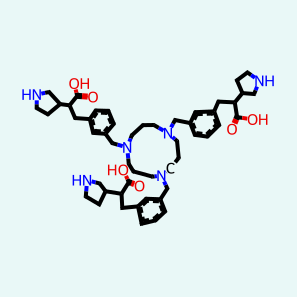 O=C(O)C(Cc1cccc(CN2CCCN(Cc3cccc(CC(C(=O)O)C4CCNC4)c3)CCCN(Cc3cccc(CC(C(=O)O)C4CCNC4)c3)CCC2)c1)C1CCNC1